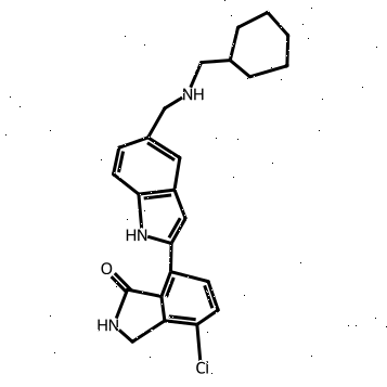 O=C1NCc2c(Cl)ccc(-c3cc4cc(CNCC5CCCCC5)ccc4[nH]3)c21